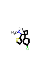 CN(C)C(c1cccs1)C1(c2ccc(Cl)cc2)CCC1